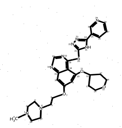 CN1CCN(CCOc2cc(OC3CCOCC3)c3c(Sc4nnc(-c5cccnc5)[nH]4)ncnc3c2)CC1